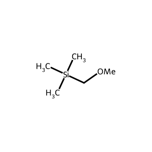 COC[Si](C)(C)C